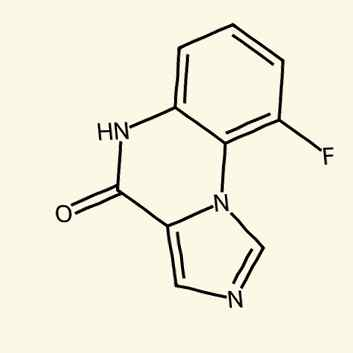 O=c1[nH]c2cccc(F)c2n2cncc12